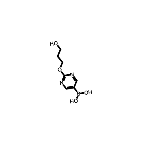 OCCCOc1ncc(B(O)O)cn1